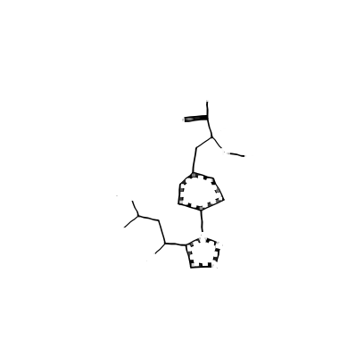 CCC(=O)[C@](C)(Cc1ccc(-n2nncc2C(C)CC(C)C(=O)O)cc1)NC(C)C